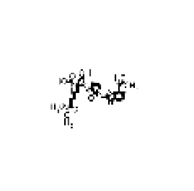 CC(C)Cc1cccc2nc(Cn3cccc(NC(=O)C(CCO)(CC/C=C/C(=O)N(C)C)NC(=O)O)c3=O)sc12